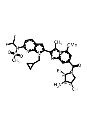 CC[C@@H]1[C@H](N)[C@H](C)CN1C(=O)c1cc(OC)n2c(C)c(-c3cc4ccc(N(C(F)F)S(C)(=O)=O)nc4n3CC3CC3)nc2c1